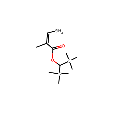 CC(=C[SiH3])C(=O)OC([Si](C)(C)C)[Si](C)(C)C